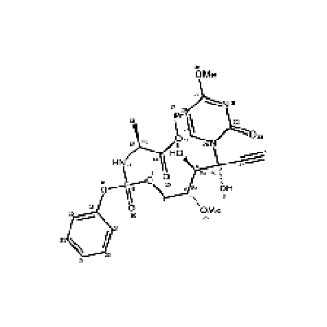 C#C[C@@](O)([C@H](O)[C@@H](COP(=O)(N[C@@H](C)C(=O)OC(C)C)Oc1ccccc1)OC)n1ccc(OC)nc1=O